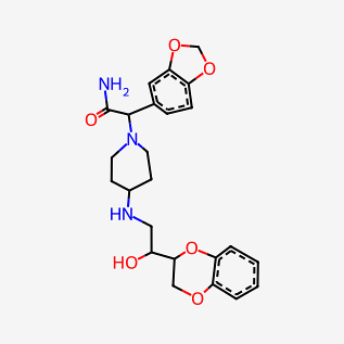 NC(=O)C(c1ccc2c(c1)OCO2)N1CCC(NCC(O)C2COc3ccccc3O2)CC1